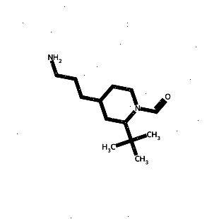 CC(C)(C)C1CC(CCCN)CCN1[C]=O